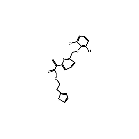 C=C(C(=O)OOCCc1cccs1)c1cccc(CSc2c(Cl)cccc2Cl)n1